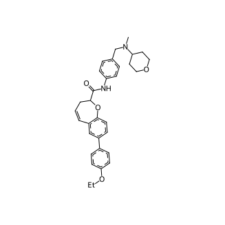 CCOc1ccc(-c2ccc3c(c2)C=CCC(C(=O)Nc2ccc(CN(C)C4CCOCC4)cc2)O3)cc1